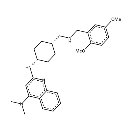 COc1ccc(OC)c(CNC[C@H]2CC[C@@H](Nc3cc(N(C)C)c4ccccc4n3)CC2)c1